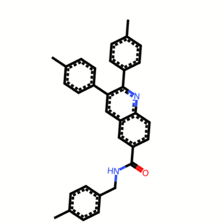 Cc1ccc(CNC(=O)c2ccc3nc(-c4ccc(C)cc4)c(-c4ccc(C)cc4)cc3c2)cc1